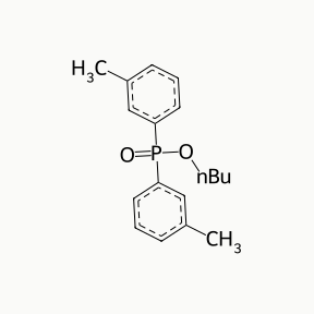 CCCCOP(=O)(c1cccc(C)c1)c1cccc(C)c1